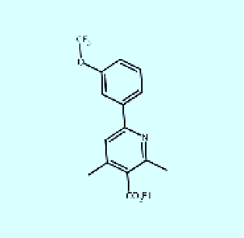 CCOC(=O)c1c(C)cc(-c2cccc(OC(F)(F)F)c2)nc1C